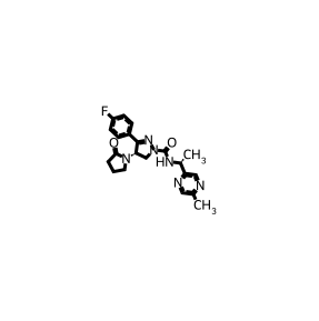 Cc1cnc([C@@H](C)NC(=O)N2C[C@H](N3CCCC3=O)C(c3ccc(F)cc3)=N2)cn1